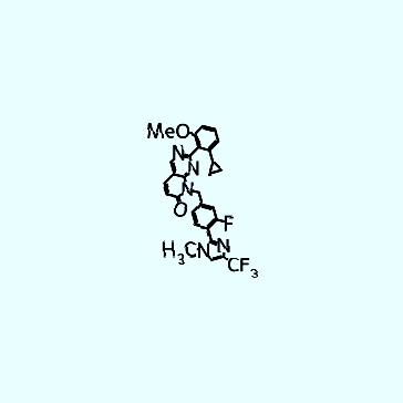 COc1cccc(C2CC2)c1-c1ncc2ccc(=O)n(Cc3ccc(-c4nc(C(F)(F)F)cn4C)c(F)c3)c2n1